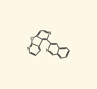 c1ccc2cc(-c3nccc4oc5ncccc5c34)ncc2c1